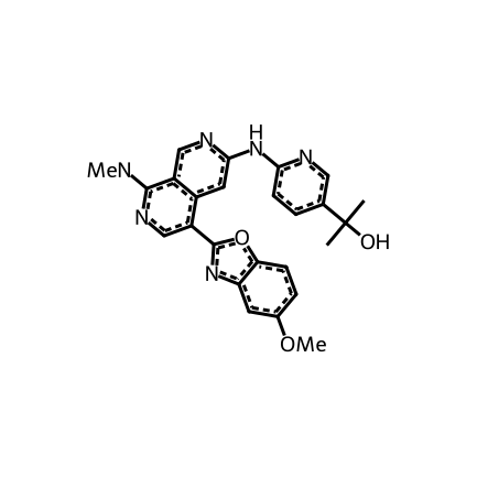 CNc1ncc(-c2nc3cc(OC)ccc3o2)c2cc(Nc3ccc(C(C)(C)O)cn3)ncc12